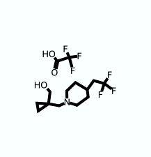 O=C(O)C(F)(F)F.OCC1(CN2CCC(CC(F)(F)F)CC2)CC1